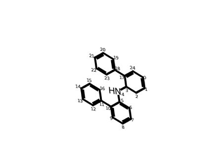 C1=CCC(Nc2ccccc2-c2ccccc2)C(c2ccccc2)=C1